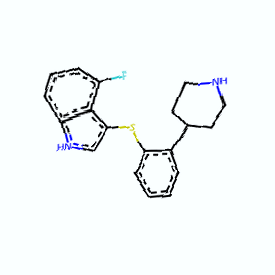 Fc1cccc2[nH]cc(Sc3ccccc3C3CCNCC3)c12